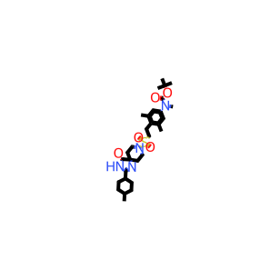 Cc1cc(N(C)C(=O)OC(C)(C)C)cc(C)c1CCS(=O)(=O)N1CCC2(CC1)N=C(C1CCC(C)CC1)NC2=O